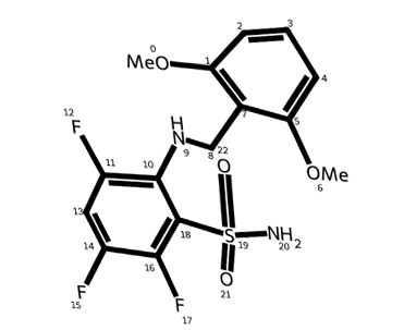 COc1cccc(OC)c1CNc1c(F)cc(F)c(F)c1S(N)(=O)=O